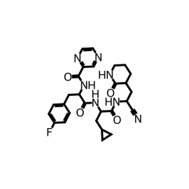 N#CC(CC1CCCNC1=O)NC(=O)C(CC1CC1)NC(=O)C(Cc1ccc(F)cc1)NC(=O)c1cnccn1